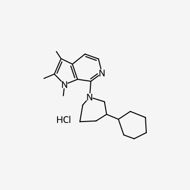 Cc1c(C)n(C)c2c(N3CCCC(C4CCCCC4)C3)nccc12.Cl